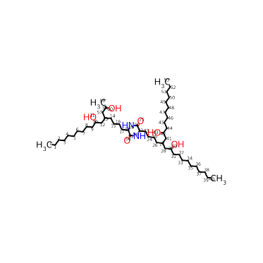 CCCCCCCCCCC(O)CC(CCCCC1NC(=O)C(CCCCC(CC(O)CCCCCCCCCC)CC(O)CCCCCCCCCC)NC1=O)CC(C)O